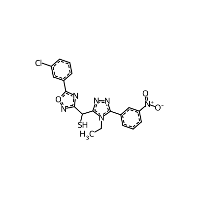 CCn1c(-c2cccc([N+](=O)[O-])c2)nnc1C(S)c1noc(-c2cccc(Cl)c2)n1